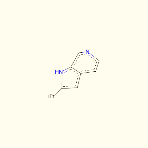 CC(C)c1cc2ccncc2[nH]1